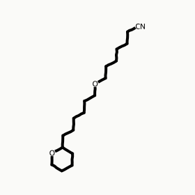 N#CCCCCCCOCCCCCCC1CCCCO1